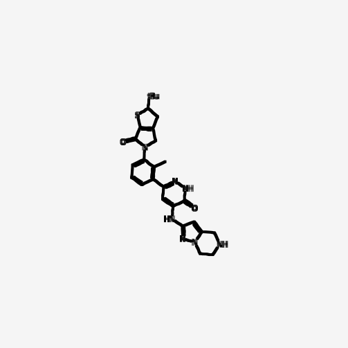 Cc1c(-c2cc(Nc3cc4n(n3)CCNC4)c(=O)[nH]n2)cccc1N1CC2=C(SC(C(C)(C)C)C2)C1=O